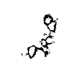 Cc1nc2c(C(C)C)c(C(=O)N[C@H]3CCOc4ccccc43)cnn2c1C1CCC(C(F)(F)F)CC1